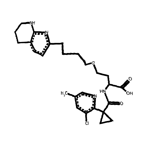 Cc1cnc(C2(C(=O)NC(CCOCCCCc3ccc4c(n3)NCCC4)C(=O)O)CC2)c(Cl)c1